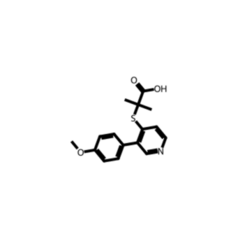 COc1ccc(-c2cnccc2SC(C)(C)C(=O)O)cc1